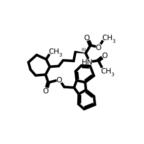 COC(=O)[C@H](CCCCC1C(C)CCCCC1C(=O)OCC1c2ccccc2-c2ccccc21)NC(C)=O